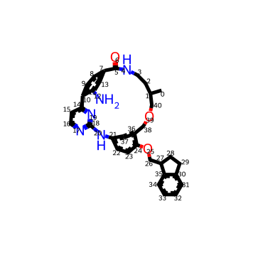 CC1CCNC(=O)c2ccc(c(N)c2)-c2ccnc(n2)Nc2ccc(OCC3CCc4ccccc43)c(c2)COC1